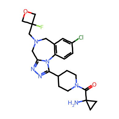 NC1(C(=O)N2CCC(c3nnc4n3-c3ccc(Cl)cc3CN(CC3(F)COC3)C4)CC2)CC1